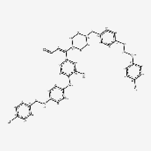 O=C/C=C(\c1ccc(Oc2ccc(OCc3ccc(F)cc3)cn2)c(Cl)c1)N1CCN(Cc2ccc(CCOc3ccc(F)cc3)cc2)CC1